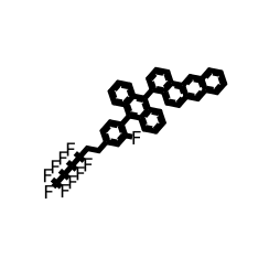 Fc1cc(CCC(F)(F)C(F)(F)C(F)(F)C(F)(F)F)ccc1-c1c2ccccc2c(-c2cccc3c2ccc2cc4ccccc4cc23)c2ccccc12